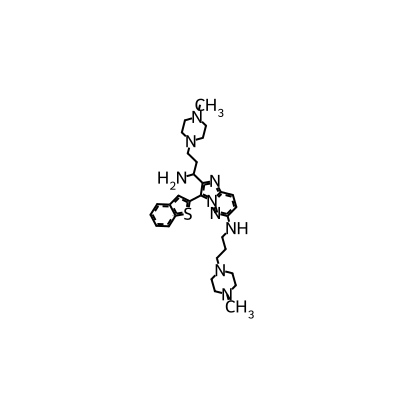 CN1CCN(CCCNc2ccc3nc(C(N)CCN4CCN(C)CC4)c(-c4cc5ccccc5s4)n3n2)CC1